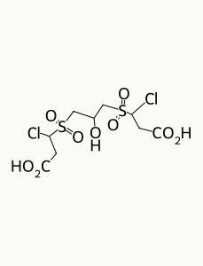 O=C(O)CC(Cl)S(=O)(=O)CC(O)CS(=O)(=O)C(Cl)CC(=O)O